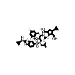 CC(C)CN(C[C@@H](O)[C@H](Cc1cc(F)cc(F)c1)NC(=O)OC1C(CO)CC(C2CC2)C1CO)S(=O)(=O)c1ccc2nc(NC3CC3)sc2c1